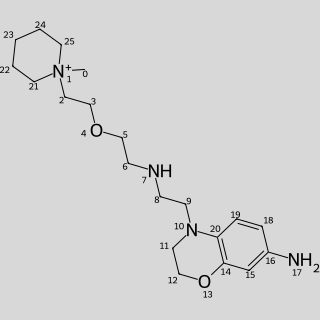 C[N+]1(CCOCCNCCN2CCOc3cc(N)ccc32)CCCCC1